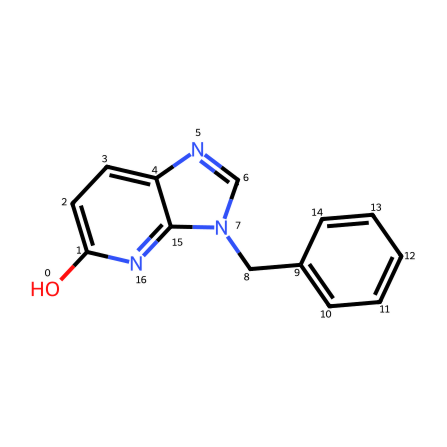 Oc1ccc2n[c]n(Cc3ccccc3)c2n1